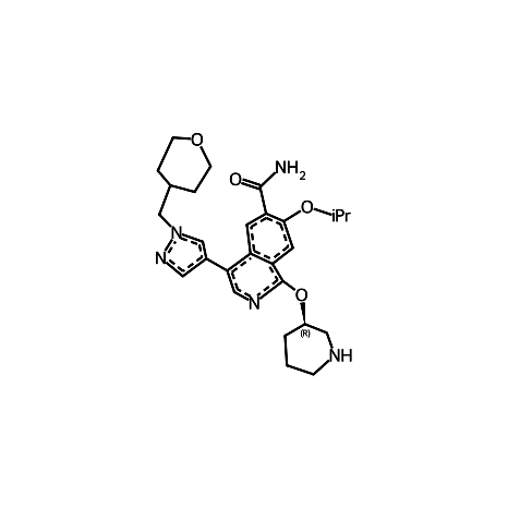 CC(C)Oc1cc2c(O[C@@H]3CCCNC3)ncc(-c3cnn(CC4CCOCC4)c3)c2cc1C(N)=O